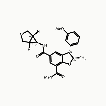 CNC(=O)c1cc(C(=O)N[C@H]2[C@@H]3COC[C@@H]32)cc2c1O[C@H](C)[C@H]2c1cccc(OC)c1